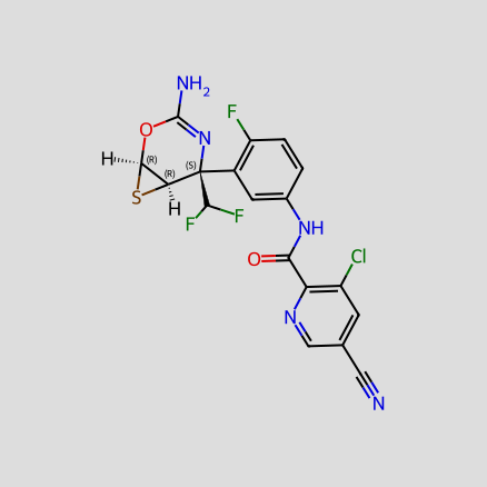 N#Cc1cnc(C(=O)Nc2ccc(F)c([C@@]3(C(F)F)N=C(N)O[C@@H]4S[C@@H]43)c2)c(Cl)c1